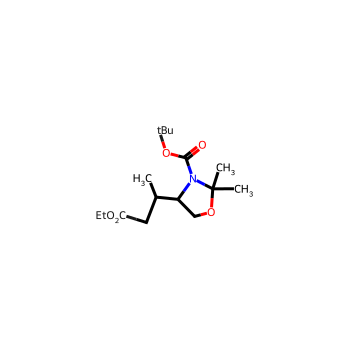 CCOC(=O)CC(C)C1COC(C)(C)N1C(=O)OC(C)(C)C